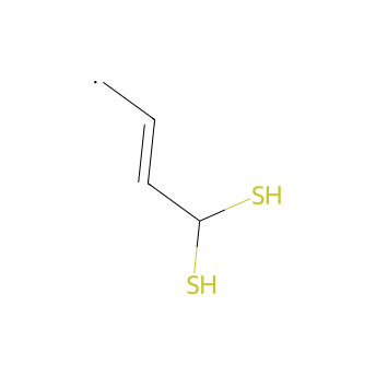 [CH2]C=CC(S)S